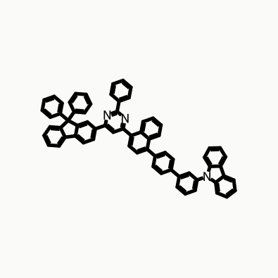 c1ccc(-c2nc(-c3ccc4c(c3)C(c3ccccc3)(c3ccccc3)c3ccccc3-4)cc(-c3ccc(-c4ccc(-c5cccc(-n6c7ccccc7c7ccccc76)c5)cc4)c4ccccc34)n2)cc1